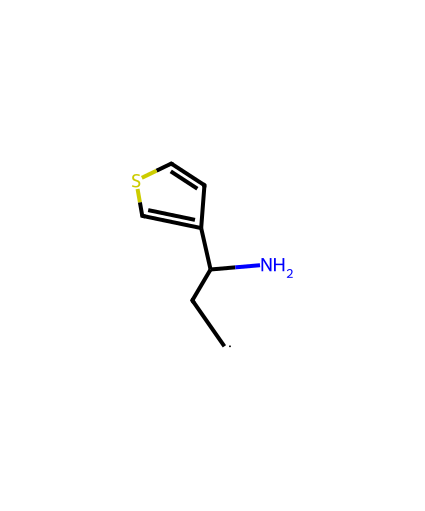 [CH2]CC(N)c1ccsc1